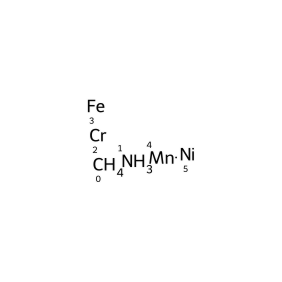 C.N.[Cr].[Fe].[Mn].[Ni]